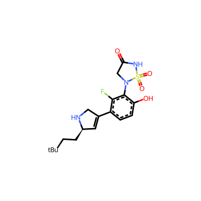 CC(C)(C)CC[C@@H]1C=C(c2ccc(O)c(N3CC(=O)NS3(=O)=O)c2F)CN1